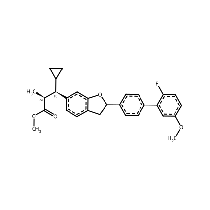 COC(=O)[C@@H](C)[C@H](c1ccc2c(c1)OC(c1ccc(-c3cc(OC)ccc3F)cc1)C2)C1CC1